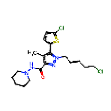 Cc1c(C(=O)NN2CCCCC2)nn(CCCCCCl)c1-c1ccc(Cl)s1